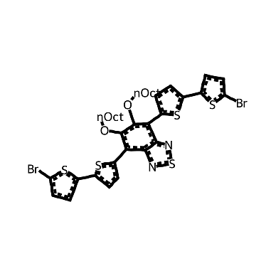 CCCCCCCCOc1c(OCCCCCCCC)c(-c2ccc(-c3ccc(Br)s3)s2)c2nsnc2c1-c1ccc(-c2ccc(Br)s2)s1